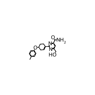 Cc1ccc(OC2CC=C(c3nc(CO)cc(C(N)=O)n3)CC2)cc1